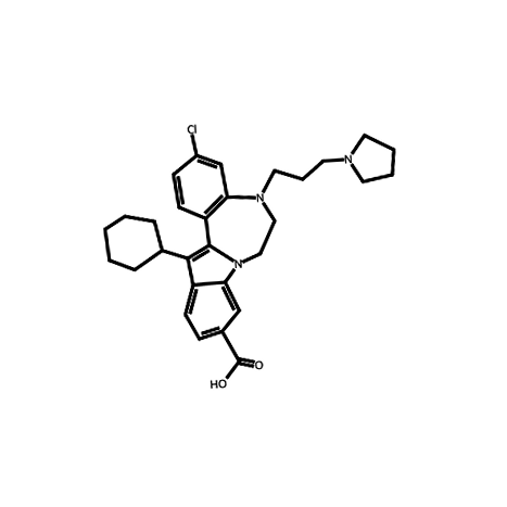 O=C(O)c1ccc2c(C3CCCCC3)c3n(c2c1)CCN(CCCN1CCCC1)c1cc(Cl)ccc1-3